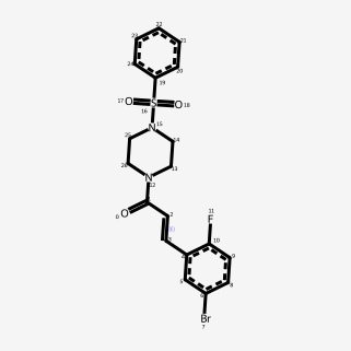 O=C(/C=C/c1cc(Br)ccc1F)N1CCN(S(=O)(=O)c2ccccc2)CC1